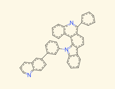 c1ccc(-c2nc3ccccc3c3c2ccc2c4ccccc4n(-c4cccc(-c5ccc6ncccc6c5)c4)c23)cc1